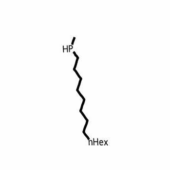 CCCCCCCCCCCCCCPC